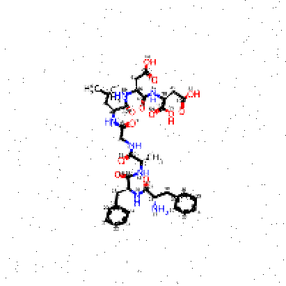 CC(C)C[C@H](NC(=O)CNC(=O)[C@H](C)NC(=O)[C@H](Cc1ccccc1)NC(=O)[C@@H](N)Cc1ccccc1)C(=O)N[C@@H](CC(=O)O)C(=O)N[C@@H](CC(=O)O)C(=O)O